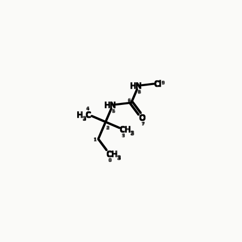 CCC(C)(C)NC(=O)NCl